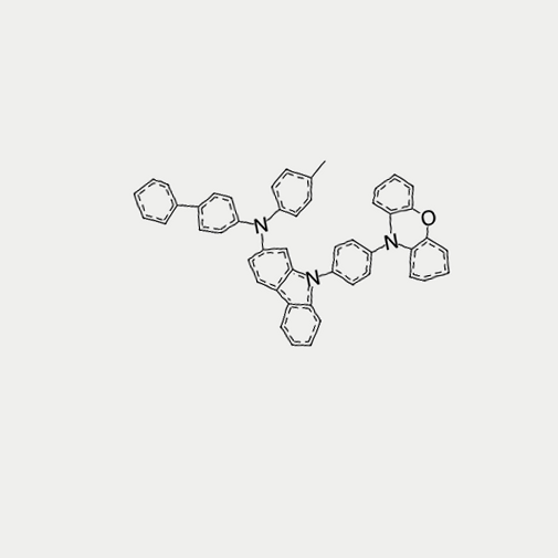 Cc1ccc(N(c2ccc(-c3ccccc3)cc2)c2ccc3c4ccccc4n(-c4ccc(N5c6ccccc6Oc6ccccc65)cc4)c3c2)cc1